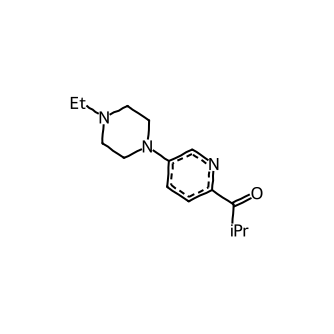 CCN1CCN(c2ccc(C(=O)C(C)C)nc2)CC1